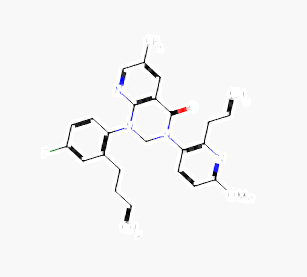 C=CCCc1cc(F)ccc1N1CN(c2ccc(OC)nc2CC=C)C(=O)c2cc(C(F)(F)F)cnc21